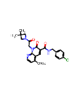 COc1ccnc2c1cc(C(=O)NCc1ccc(Cl)cc1)c(=O)n2CC(=O)N1CC(C)(C)C1